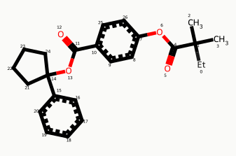 CCC(C)(C)C(=O)Oc1ccc(C(=O)OC2(c3ccccc3)CCCC2)cc1